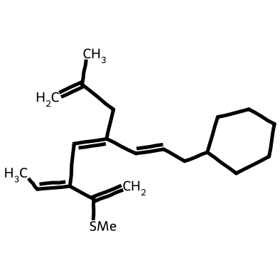 C=C(C)CC(=C/C(=C\C)C(=C)SC)/C=C/CC1CCCCC1